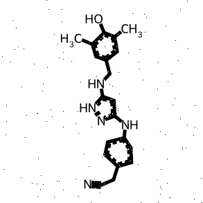 Cc1cc(CNc2cc(Nc3ccc(CC#N)cc3)n[nH]2)cc(C)c1O